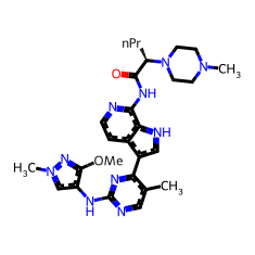 CCC[C@H](C(=O)Nc1nccc2c(-c3nc(Nc4cn(C)nc4OC)ncc3C)c[nH]c12)N1CCN(C)CC1